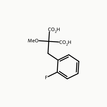 COC(Cc1ccccc1F)(C(=O)O)C(=O)O